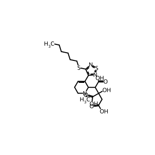 CCCCCCSc1nsnc1C1=CCCN(C)C1C(C(=O)O)C(O)(CC(=O)O)C(=O)O